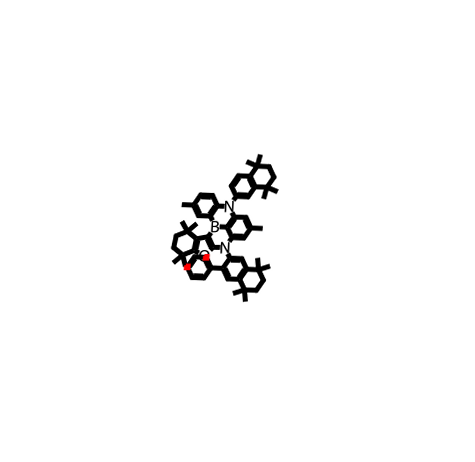 Cc1ccc2c(c1)B1c3c(cc(C)cc3N(c3cc4c(cc3-c3ccccc3)C(C)(C)CCC4(C)C)c3oc4c(c31)C(C)(C)CCC4(C)C)N2c1ccc2c(c1)C(C)(C)CCC2(C)C